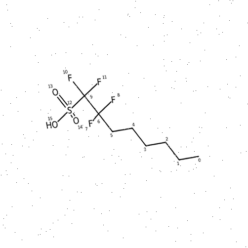 CCCCCCC(F)(F)C(F)(F)S(=O)(=O)O